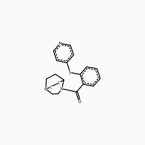 O=C(c1ccccc1Sc1ccncc1)N1CCN2CCC1CC2